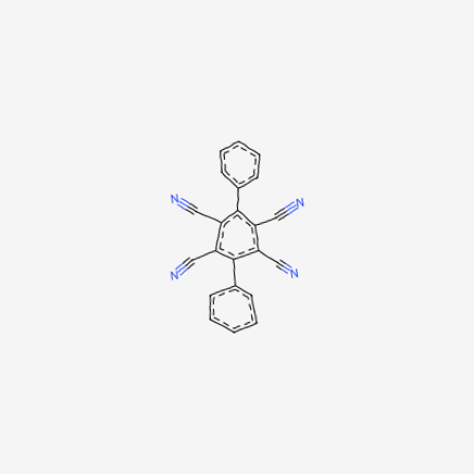 N#Cc1c(C#N)c(-c2ccccc2)c(C#N)c(C#N)c1-c1ccccc1